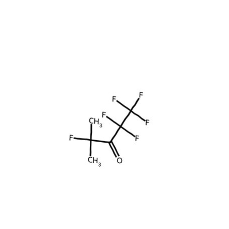 CC(C)(F)C(=O)C(F)(F)C(F)(F)F